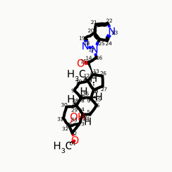 COC1C2[C@@H]3CC[C@@H]4[C@H](CC[C@]5(C)[C@@H](C(=O)Cn6ncc7ccncc76)CC[C@@H]45)[C@H]3CC[C@]12O